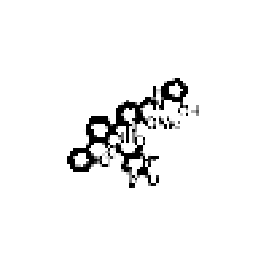 COc1nc(C2(NC(=O)c3cn(C)c(=O)n(C)c3=O)C=CC=C(c3ccccc3Cl)C2C)ccc1CN[C@@H]1CCC[C@@H]1O